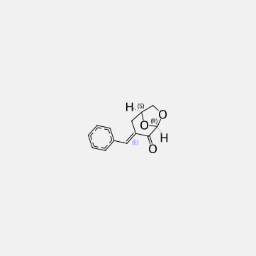 O=C1/C(=C/c2ccccc2)C[C@H]2CO[C@@H]1O2